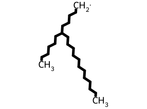 [CH2]CCCCC(CCCCCC)CCCCCCCCCCCC